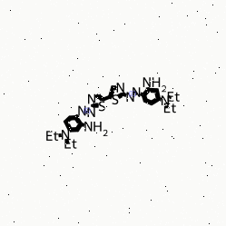 CCN(CC)c1ccc(/N=N/c2ncc(-c3cnc(/N=N/c4ccc(N(CC)CC)cc4N)s3)s2)c(N)c1